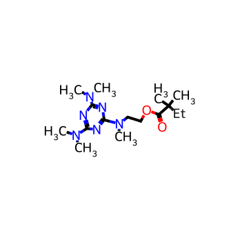 CCC(C)(C)C(=O)OCCN(C)c1nc(N(C)C)nc(N(C)C)n1